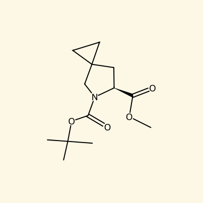 COC(=O)[C@@H]1CC2(CC2)CN1C(=O)OC(C)(C)C